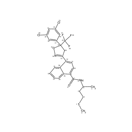 CSCCC(C)NC(=O)c1ccc(C2=NOC(c3cc(Cl)cc(Cl)c3)(C(F)(F)F)C2)c2ccccc12